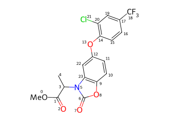 COC(=O)C(C)n1c(=O)oc2ccc(Oc3ccc(C(F)(F)F)cc3Cl)cc21